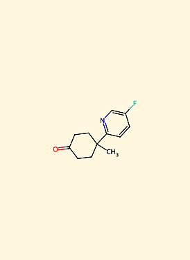 CC1(c2ccc(F)cn2)CCC(=O)CC1